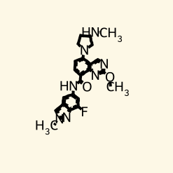 CNC1CCN(c2ccc(C(=O)Nc3cc(F)c4nn(C)cc4c3)c3nc(OC)ncc23)C1